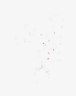 C=CC1=C(C=C)C(C)(C)c2cc(N(c3ccc(B4OC(C)(C)C(C)(C)O4)cc3)c3cc(-c4ccccc4)ccc3-c3ccccc3)ccc21